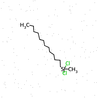 CCCCCCCCCCCCC[Si](C)(Cl)Cl